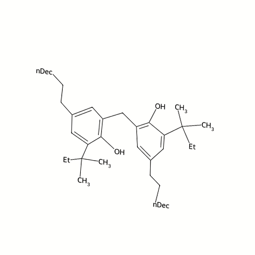 CCCCCCCCCCCCc1cc(Cc2cc(CCCCCCCCCCCC)cc(C(C)(C)CC)c2O)c(O)c(C(C)(C)CC)c1